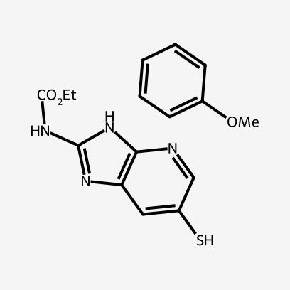 CCOC(=O)Nc1nc2cc(S)cnc2[nH]1.COc1ccccc1